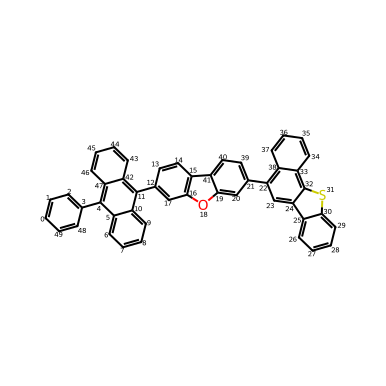 c1ccc(-c2c3ccccc3c(-c3ccc4c(c3)oc3cc(-c5cc6c7ccccc7sc6c6ccccc56)ccc34)c3ccccc23)cc1